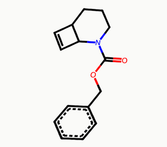 O=C(OCc1ccccc1)N1CCCC2C=CC21